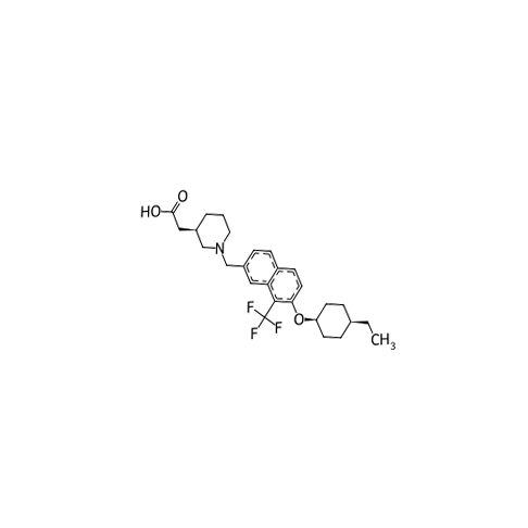 CC[C@H]1CC[C@@H](Oc2ccc3ccc(CN4CCC[C@H](CC(=O)O)C4)cc3c2C(F)(F)F)CC1